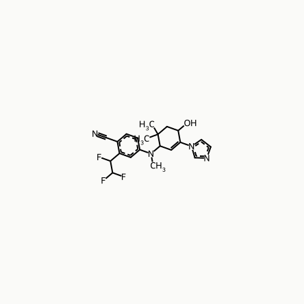 CN(c1ccc(C#N)c(C(F)C(F)F)c1)C1C=C(n2ccnc2)C(O)CC1(C)C